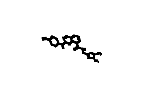 Cc1cc(CNC(=O)c2cccc3cnc(NC4CCC(O)CC4)nc23)nn1C